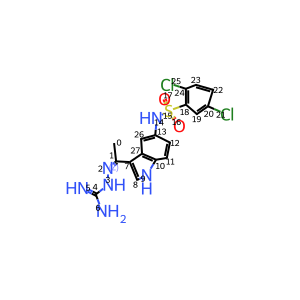 C/C(=N/NC(=N)N)c1c[nH]c2ccc(NS(=O)(=O)c3cc(Cl)ccc3Cl)cc12